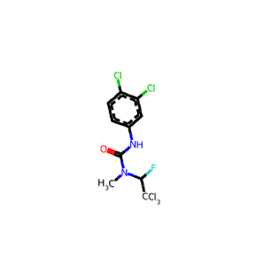 CN(C(=O)Nc1ccc(Cl)c(Cl)c1)C(F)C(Cl)(Cl)Cl